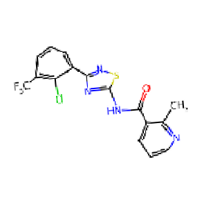 Cc1ncccc1C(=O)Nc1nc(-c2cccc(C(F)(F)F)c2Cl)ns1